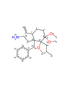 C=CC1CC[Si](OC)(OC)C(CCC)(OC)C1(CCN)Cc1ccccc1